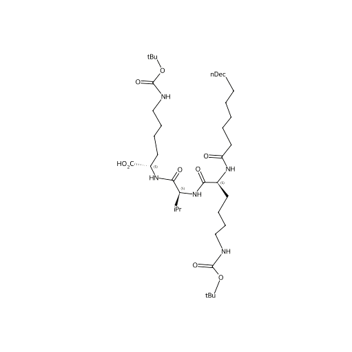 CCCCCCCCCCCCCCCC(=O)N[C@@H](CCCCNC(=O)OC(C)(C)C)C(=O)N[C@H](C(=O)N[C@@H](CCCCNC(=O)OC(C)(C)C)C(=O)O)C(C)C